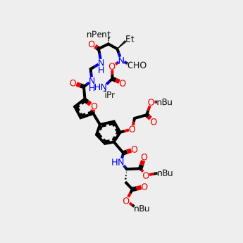 CCCCC[C@@H](C(=O)NCNC(=O)c1ccc(-c2ccc(C(=O)N[C@@H](CC(=O)OCCCC)C(=O)OCCCC)c(OCC(=O)OCCCC)c2)o1)[C@@H](CC)N(C=O)OC(=O)NC(C)C